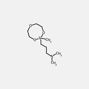 CN(C)CCC[Si]1(C)OCCOCCO1